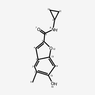 Cc1cc2cc(C(=O)NC3CC3)oc2cc1O